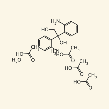 CC(=O)O.CC(=O)O.CC(=O)O.CC(=O)O.Nc1ccccc1C(O)(CO)c1ccccc1N.O